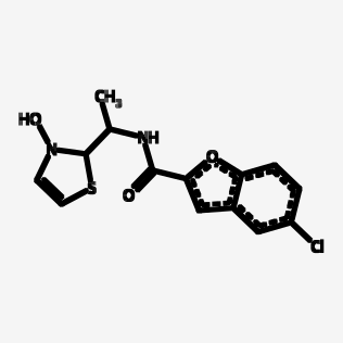 CC(NC(=O)c1cc2cc(Cl)ccc2o1)C1SC=CN1O